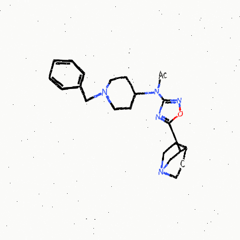 CC(=O)N(c1noc(C2CN3CCC2CC3)n1)C1CCN(Cc2ccccc2)CC1